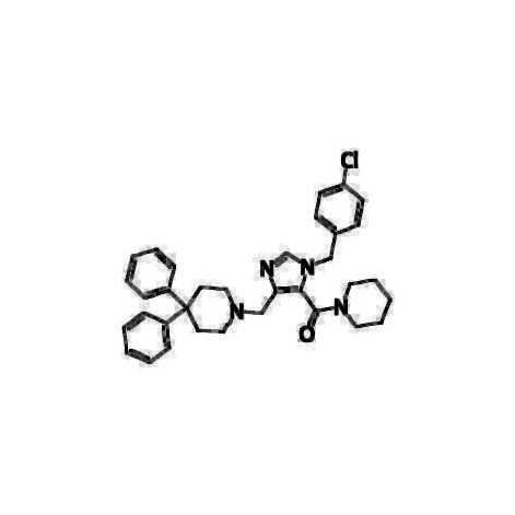 O=C(c1c(CN2CCC(c3ccccc3)(c3ccccc3)CC2)ncn1Cc1ccc(Cl)cc1)N1CCCCC1